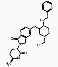 C=C1CCC(N2Cc3cc(OC4CN(CC)CCC4NCc4ccccc4)ccc3C2=O)C(=O)N1